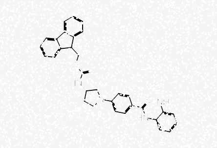 Nc1ccccc1NC(=O)c1ccc(N2CC[C@H](NC(=O)OCC3c4ccccc4-c4ccccc43)C2)cc1